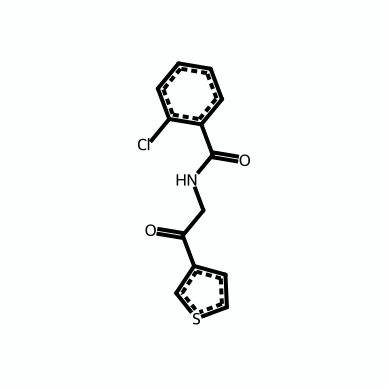 O=C(CNC(=O)c1ccccc1Cl)c1ccsc1